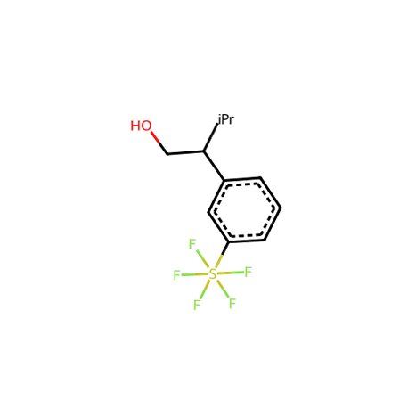 CC(C)C(CO)c1cccc(S(F)(F)(F)(F)F)c1